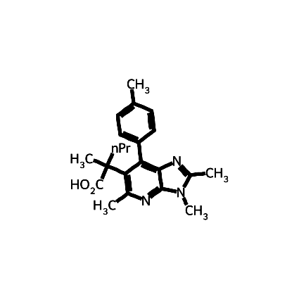 CCCC(C)(C(=O)O)c1c(C)nc2c(nc(C)n2C)c1-c1ccc(C)cc1